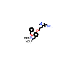 CN(C)C(CCCOc1ccc(CC(C(=O)O)N(C=O)OCc2ccccc2)cc1)C(C)(C)CN